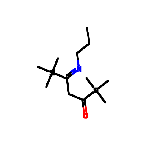 CCC/N=C(/CC(=O)[Si](C)(C)C)[Si](C)(C)C